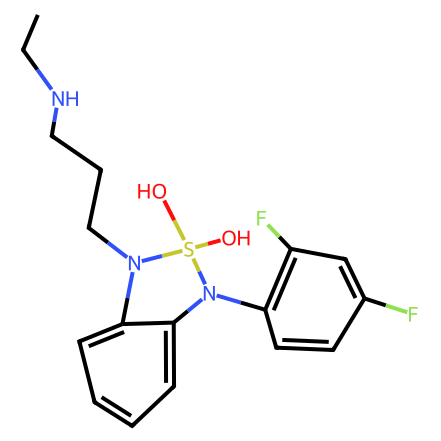 CCNCCCN1c2ccccc2N(c2ccc(F)cc2F)S1(O)O